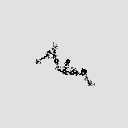 C/C=C\C(=O)NCCCCCC(=O)NC(C(=O)N[C@@H](CCCNC(N)=O)C(=O)Nc1ccc(COC(=O)N(C)CCCc2cc3c(c(C(=O)Nc4nc5ccccc5s4)c2)CN(c2ccc(-c4cnn(CC56CC7(OCCNCCS(=O)(=O)O)CC8(C)CC(C)(C5)C8(C6)C7)c4C)c(C(=O)O)n2)CC3)cc1)C(C)C